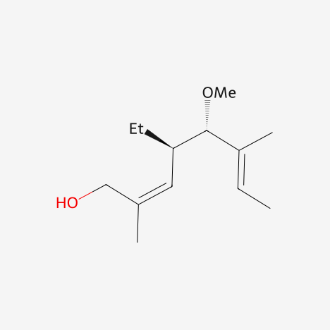 C/C=C(\C)[C@@H](OC)[C@@H](/C=C(/C)CO)CC